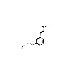 COC(=O)/C=C/c1cccc(CNS(=O)(=O)CBr)c1